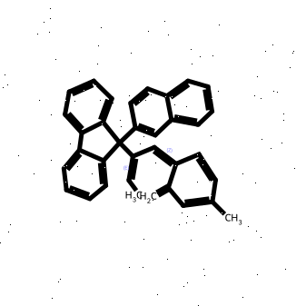 C=c1cc(C)cc/c1=C/C(=C\C)C1(c2ccc3ccccc3c2)c2ccccc2-c2ccccc21